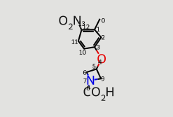 Cc1cc(OC2CN(C(=O)O)C2)ccc1[N+](=O)[O-]